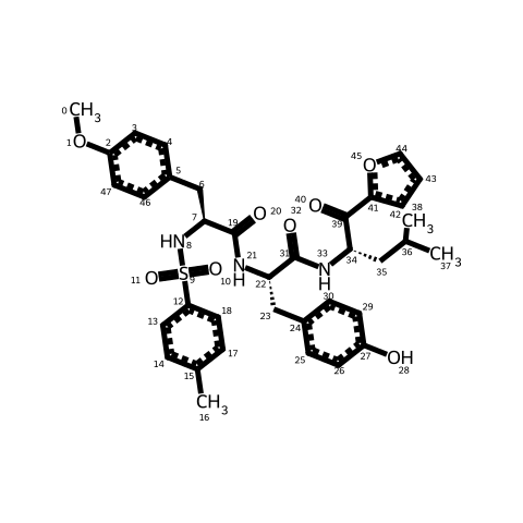 COc1ccc(C[C@H](NS(=O)(=O)c2ccc(C)cc2)C(=O)N[C@@H](Cc2ccc(O)cc2)C(=O)N[C@@H](CC(C)C)C(=O)c2ccco2)cc1